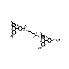 C=c1ccc2c(c1)Oc1cc(N(C)C)ccc1C=2c1ccc(C(=O)NC/C=C/C=C/C(=O)NCc2c3oc4cc(O)ccc4c(-c4ccc(C(=O)O)cc4C(=O)O)c-3ccc2=O)cc1C(=O)O